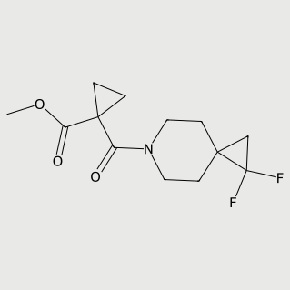 COC(=O)C1(C(=O)N2CCC3(CC2)CC3(F)F)CC1